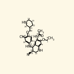 CCOc1cc2c(cc1NC(C)=O)C(Nc1ccc(OCC3CCCNC3)c(Cl)c1)C(C#N)CN2